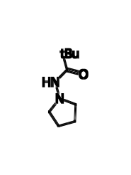 CC(C)(C)C(=O)NN1CCCC1